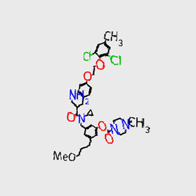 COCCCc1cc(CN(C(=O)C(CN)Cc2ccc(OCCOc3c(Cl)cc(C)cc3Cl)cc2)C2CC2)cc(OC(=O)N2CCN(C)CC2)c1